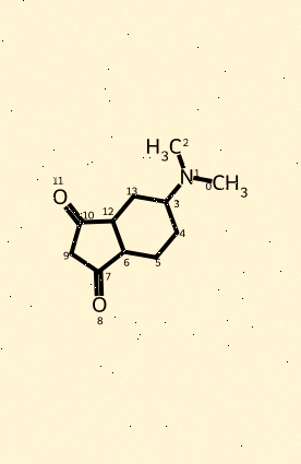 CN(C)C1CCC2C(=O)CC(=O)C2C1